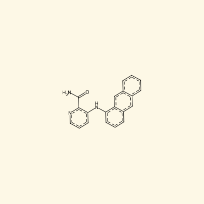 NC(=O)c1ncccc1Nc1cccc2cc3ccccc3cc12